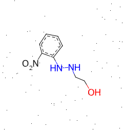 O=[N+]([O-])c1ccccc1NNCCO